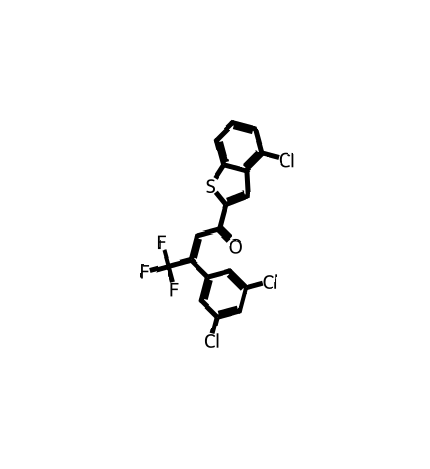 O=C(/C=C(\c1cc(Cl)cc(Cl)c1)C(F)(F)F)c1cc2c(Cl)cccc2s1